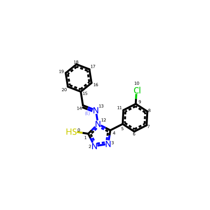 Sc1nnc(-c2cccc(Cl)c2)n1/N=C/c1ccccc1